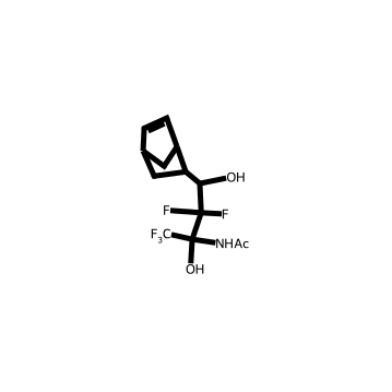 CC(=O)NC(O)(C(F)(F)F)C(F)(F)C(O)C1CC2C=CC1C2